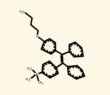 CCCCOc1ccc(/C(=C(/c2ccccc2)c2cc[c]([Sn]([CH3])([CH3])[CH3])cc2)c2ccccc2)cc1